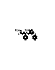 CC(C)(C)OC(=O)CCC(NCc1cc(Oc2ccccc2)ncc1[N+](=O)[O-])C1CCCCC1